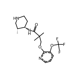 C[C@@H]1CNCC[C@H]1NC(=O)C(C)(C)COc1ncccc1OC(F)(F)F